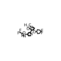 Cn1ccc(OC2CCC(F)(F)CC2)c(-c2cc(-c3nnc(C(F)F)o3)ccn2)c1=O